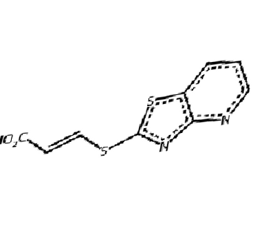 O=C(O)C=CSc1nc2ncccc2s1